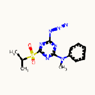 CC(C)S(=O)(=O)c1nc(N=[N+]=[N-])nc(N(C)c2ccccc2)n1